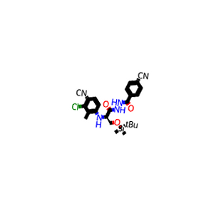 [C-]#[N+]c1ccc(N[C@H](CO[Si](C)(C)C(C)(C)C)C(=O)NNC(=O)c2ccc(C#N)cc2)c(C)c1Cl